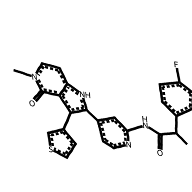 CC(C(=O)Nc1cc(-c2[nH]c3ccn(C)c(=O)c3c2-c2ccsc2)ccn1)c1ccc(F)cc1